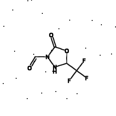 O=CN1NC(C(F)(F)F)OC1=O